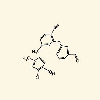 Cc1ccc(C#N)c(Cl)n1.Cc1ccc(C#N)c(Oc2cccc(C=O)c2)n1